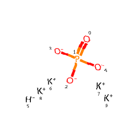 O=P([O-])([O-])[O-].[H-].[K+].[K+].[K+].[K+]